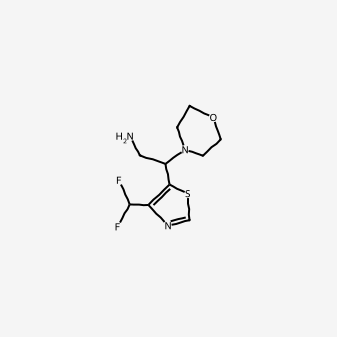 NCC(c1scnc1C(F)F)N1CCOCC1